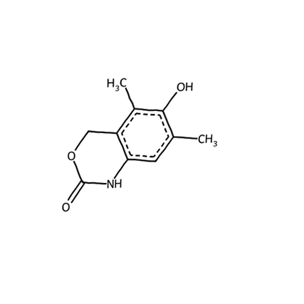 Cc1cc2c(c(C)c1O)COC(=O)N2